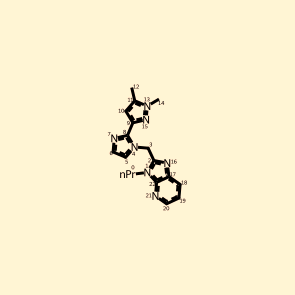 CCCn1c(Cn2ccnc2-c2cc(C)n(C)n2)nc2cccnc21